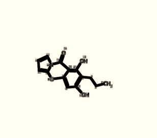 CCCc1c(O)cc2oc3cccn3c(=O)c2c1O